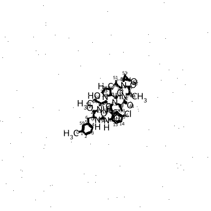 Cc1cccc(C[C@H](NC(=O)Nc2ccc(Cl)cc2F)C(=O)N[C@H](C(=O)N2CCC[C@H]2C(=O)N2CC[S@@+]([O-])C[C@H]2C(=O)N[C@@H](C)C(=O)N2C[C@H](C)C[C@@]23CC3=O)[C@H](C)O)c1